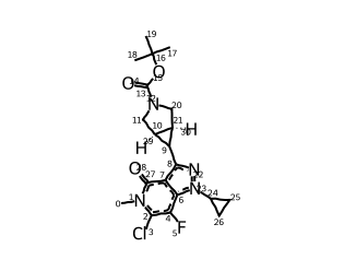 Cn1c(Cl)c(F)c2c(c(C3[C@H]4CN(C(=O)OC(C)(C)C)C[C@@H]34)nn2C2CC2)c1=O